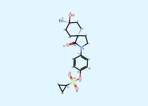 CC[C@]1(O)CC[C@@]2(CCN(c3ccc(OS(=O)(=O)C4CC4)cc3)C2=O)CC1